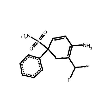 NC1=C(C(F)F)CC(c2ccccc2)(S(N)(=O)=O)C=C1